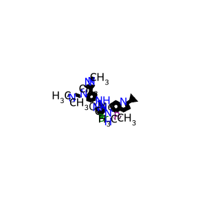 COc1cc(N(C)CCN(C)C)c(-c2cnn(C)c2)cc1Nc1ncc(Br)c(Nc2ccc3nc(C4CC4)ccc3c2P(C)C)n1